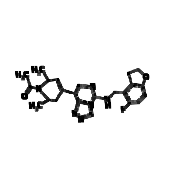 CC(=O)N1C(C)C=C(c2cnc(NCc3c(F)ccc4c3CCO4)n3cnnc23)CC1C